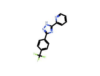 FC(F)(F)c1ccc(-c2n[nH]c(-c3ccccn3)n2)cc1